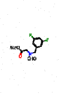 COC(=O)CN(C=O)Cc1cc(F)cc(F)c1